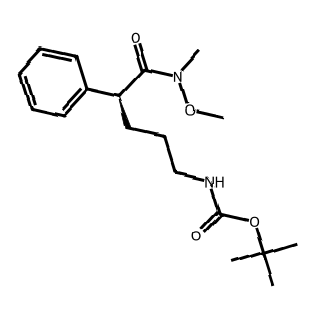 CON(C)C(=O)[C@@H](CCCNC(=O)OC(C)(C)C)c1ccccc1